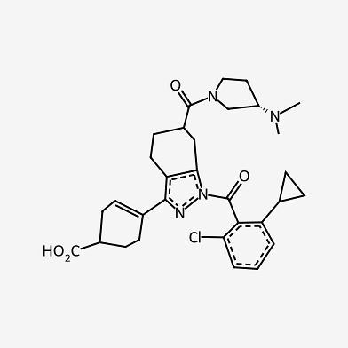 CN(C)[C@H]1CCN(C(=O)C2CCc3c(C4=CCC(C(=O)O)CC4)nn(C(=O)c4c(Cl)cccc4C4CC4)c3C2)C1